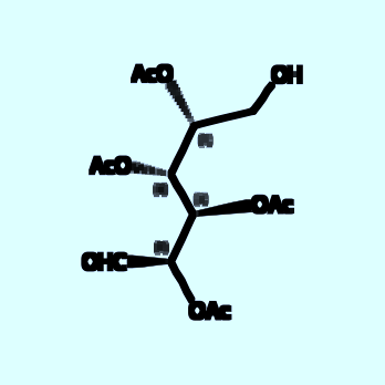 CC(=O)O[C@H]([C@H](OC(C)=O)[C@@H](CO)OC(C)=O)[C@H](C=O)OC(C)=O